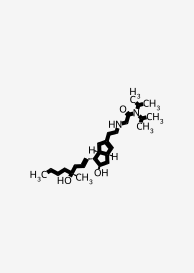 CCCC[C@](C)(O)C/C=C/[C@@H]1[C@H]2CC(CCNCC(=O)N(C(C)C)C(C)C)=C[C@H]2C[C@H]1O